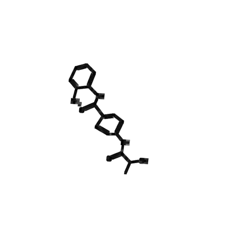 CC(O)C(=O)Nc1ccc(C(=O)Nc2ccccc2N)cc1